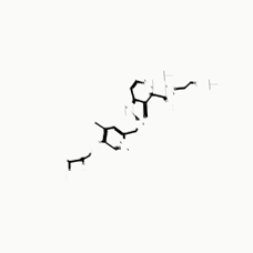 Cc1cc(Cn2cc3c(C(=O)NCCO)nccc3n2)ncc1OCC(F)(F)C(F)F